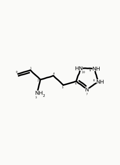 C=CC(N)CCC1=NNNN1